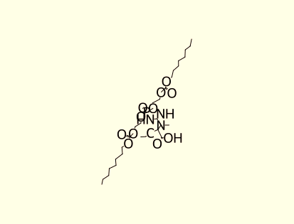 CCCCCCCCOC(=O)OCCOP(=O)(NC(=N)N(C)C(CCC)C(=O)O)OCCOC(=O)OCCCCCCCC